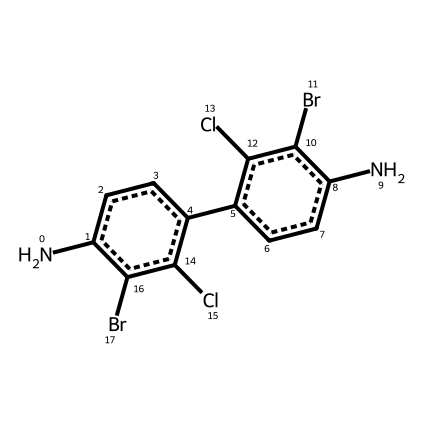 Nc1ccc(-c2ccc(N)c(Br)c2Cl)c(Cl)c1Br